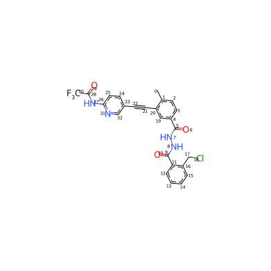 Cc1ccc(C(=O)NNC(=O)c2ccccc2CCl)cc1C#Cc1ccc(NC(=O)C(F)(F)F)nc1